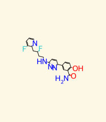 NC(=O)c1cc(-c2ccc(NCC[C@H](F)Cc3ncccc3F)nn2)ccc1O